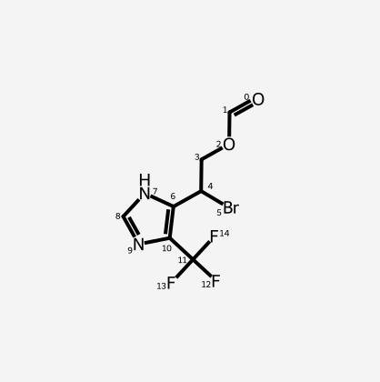 O=COCC(Br)c1[nH]cnc1C(F)(F)F